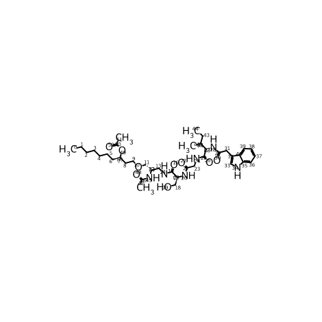 CCCCCCC[C@H](CCOC[C@H](CNC(=O)[C@H](CO)NC(=O)CNC(=O)[C@@H](NC(=O)Cc1c[nH]c2ccccc12)[C@@H](C)CC)NC(C)=O)OC(C)=O